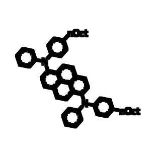 CCCCCCCCc1ccc(N(c2ccccc2)c2ccc3ccc4c(N(c5ccccc5)c5ccc(CCCCCCCC)cc5)ccc5ccc2c3c54)cc1